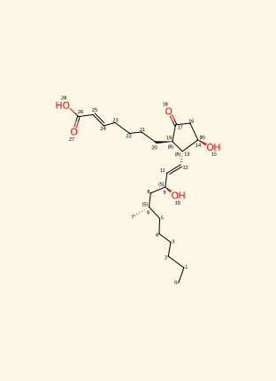 CCCCCC[C@H](C)C[C@H](O)C=C[C@H]1[C@H](O)CC(=O)[C@@H]1CCCCC=CC(=O)O